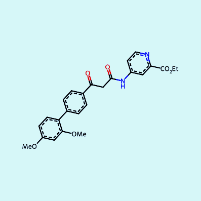 CCOC(=O)c1cc(NC(=O)CC(=O)c2ccc(-c3ccc(OC)cc3OC)cc2)ccn1